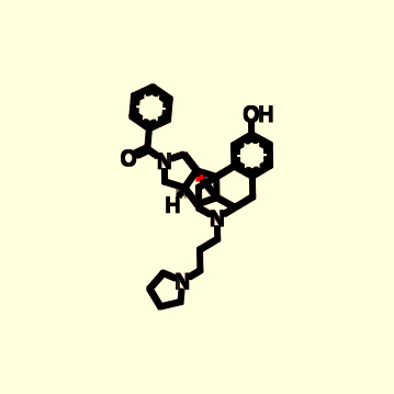 O=C(c1ccccc1)N1C[C@H]2CC34CCC1C2C31CCN(CCCN2CCCC2)C4Cc2ccc(O)cc21